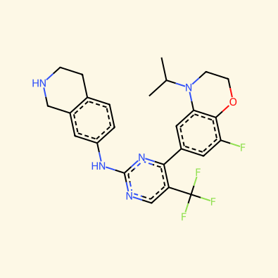 CC(C)N1CCOc2c(F)cc(-c3nc(Nc4ccc5c(c4)CNCC5)ncc3C(F)(F)F)cc21